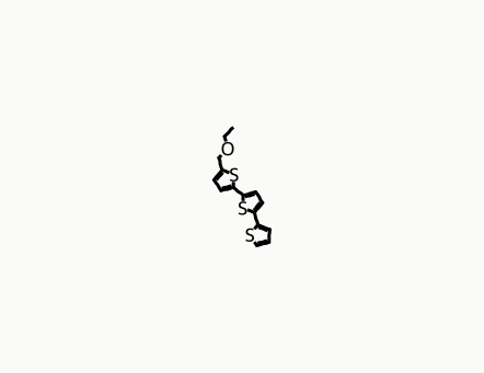 CCOCc1ccc(-c2ccc(-c3cccs3)s2)s1